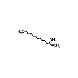 C=CC(N)CCCCCCCCCCC